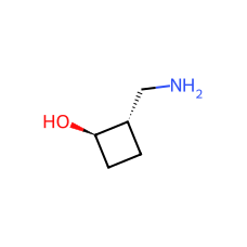 NC[C@@H]1CC[C@H]1O